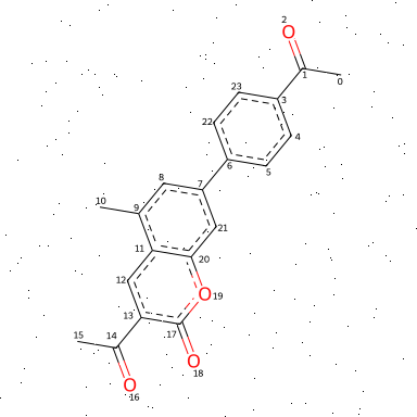 CC(=O)c1ccc(-c2cc(C)c3cc(C(C)=O)c(=O)oc3c2)cc1